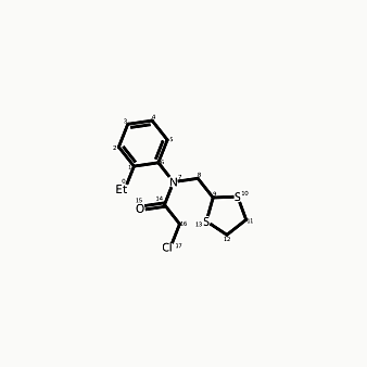 CCc1ccccc1N(CC1SCCS1)C(=O)CCl